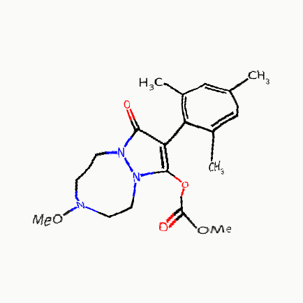 COC(=O)Oc1c(-c2c(C)cc(C)cc2C)c(=O)n2n1CCN(OC)CC2